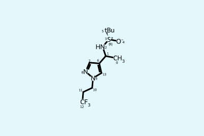 CC(N[S@@+]([O-])C(C)(C)C)c1cnn(CCC(F)(F)F)c1